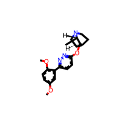 COc1ccc(OC)c(-c2ccc(O[C@@H]3C4CCN(CC4)[C@H]3C)nn2)c1